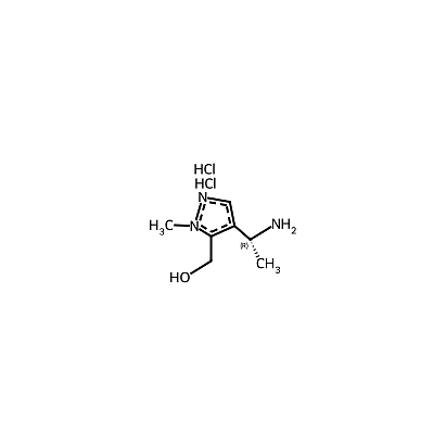 C[C@@H](N)c1cnn(C)c1CO.Cl.Cl